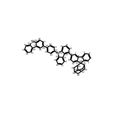 c1ccc2c(c1)-c1cc(-c3cccc4c3c3ccccc3n4-c3ccc(-c4ccc5sc6ccccc6c5c4)cc3)ccc1C21C2CC3CC(C2)CC1C3